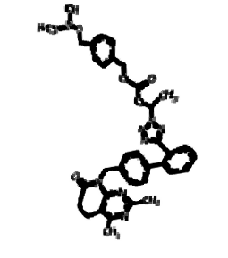 Cc1nc(C)c2c(n1)N(Cc1ccc(-c3ccccc3-c3nnn(C(C)OC(=O)OCc4ccc(CON(O)O)cc4)n3)cc1)C(=O)CC2